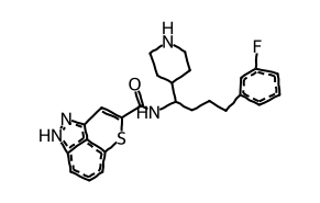 O=C(NC(CCCc1cccc(F)c1)C1CCNCC1)C1=Cc2n[nH]c3cccc(c23)S1